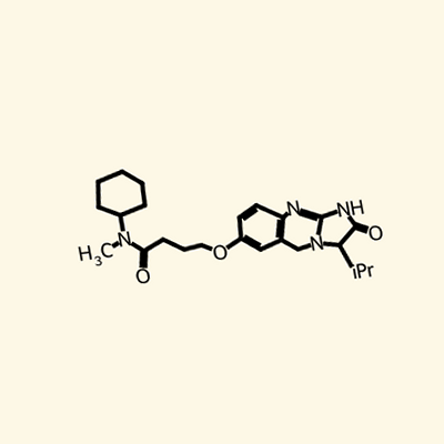 CC(C)C1C(=O)NC2=Nc3ccc(OCCCC(=O)N(C)C4CCCCC4)cc3CN21